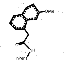 CCCCCNC(=O)Cc1cccc2ccc(OC)cc12